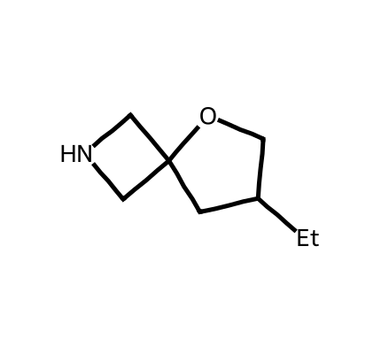 CCC1COC2(CNC2)C1